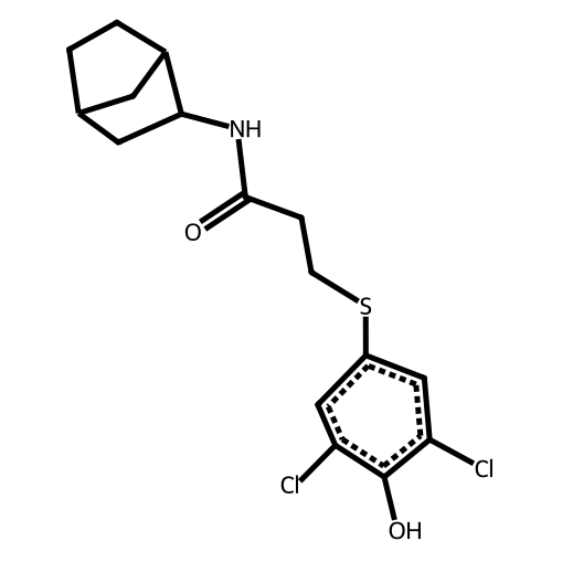 O=C(CCSc1cc(Cl)c(O)c(Cl)c1)NC1CC2CCC1C2